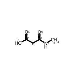 CNC(=O)[CH]C(=O)O